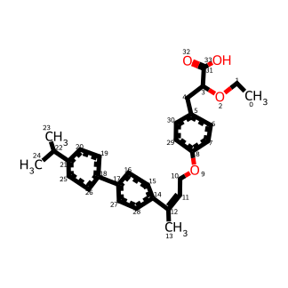 CCOC(Cc1ccc(OC/C=C(/C)c2ccc(-c3ccc(C(C)C)cc3)cc2)cc1)C(=O)O